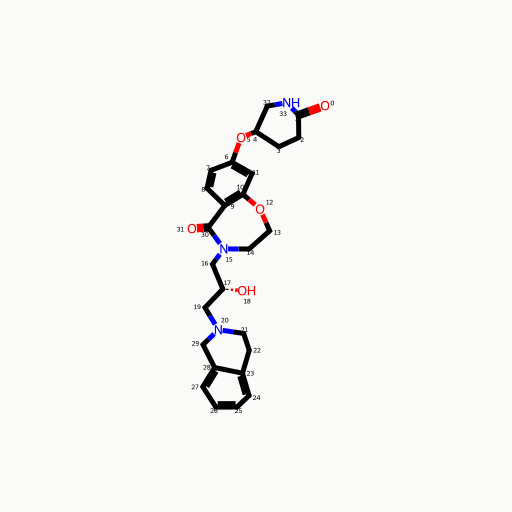 O=C1CCC(Oc2ccc3c(c2)OCCN(C[C@H](O)CN2CCc4ccccc4C2)C3=O)CN1